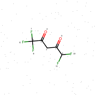 O=C(CC(=O)C(F)(F)F)C(F)F